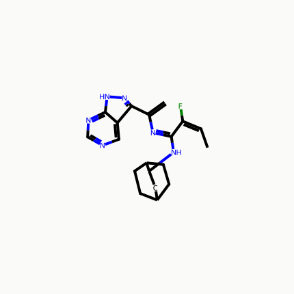 C=C(/N=C(NC1CC2CCC1CC2)\C(F)=C/C)c1n[nH]c2ncncc12